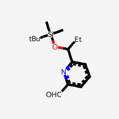 CCC(O[Si](C)(C)C(C)(C)C)c1cccc(C=O)n1